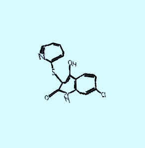 O=c1[nH]c2cc(Cl)ccc2c(O)c1Sc1ccccn1